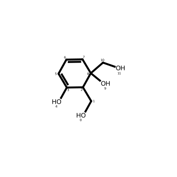 OCC1C(O)=CC=CC1(O)CO